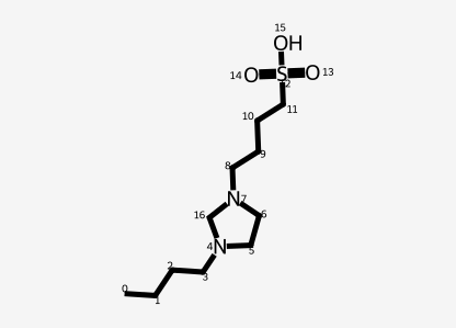 CCCCN1CCN(CCCCS(=O)(=O)O)C1